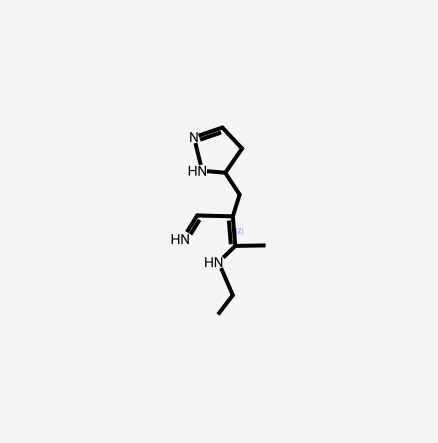 CCN/C(C)=C(\C=N)CC1CC=NN1